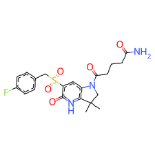 CC1(C)CN(C(=O)CCCC(N)=O)c2cc(S(=O)(=O)Cc3ccc(F)cc3)c(=O)[nH]c21